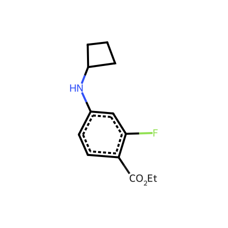 CCOC(=O)c1ccc(NC2CCC2)cc1F